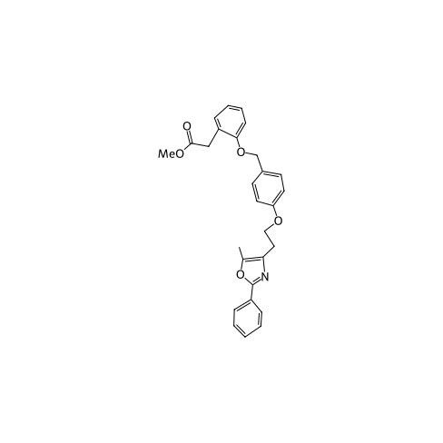 COC(=O)Cc1ccccc1OCc1ccc(OCCc2nc(-c3ccccc3)oc2C)cc1